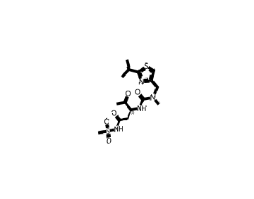 CC(=O)[C@H](CC(=O)NS(C)(=O)=O)NC(=O)N(C)Cc1csc(C(C)C)n1